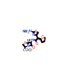 Nc1nc(/C(C(=O)NC2C(=O)N3C(C(=O)[O-])CS[C@@H]23)=C2/C=CCO2)cs1.[Na+]